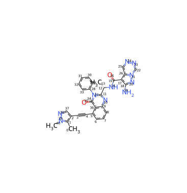 Cc1c(C#Cc2cccc3nc([C@H](C)NC(=O)c4c(N)nn5cnncc45)n(-c4ccccc4)c(=O)c23)cnn1C